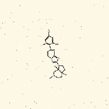 Cc1cc(Cl)cc(O)c1-c1ccn2nc(N3CC[C@@H]4CCN(C)C[C@@H]43)nc2n1